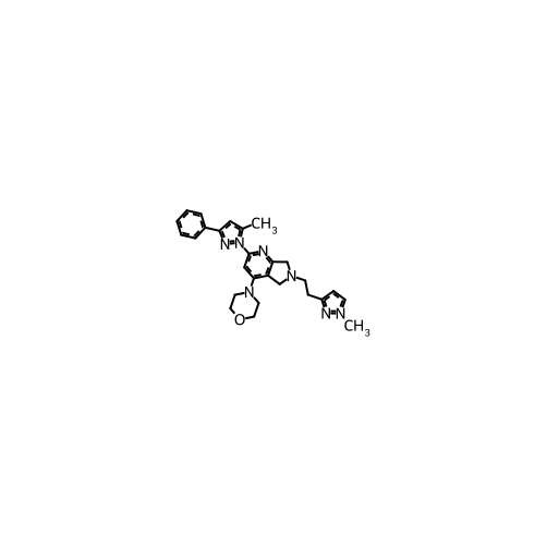 Cc1cc(-c2ccccc2)nn1-c1cc(N2CCOCC2)c2c(n1)CN(CCc1ccn(C)n1)C2